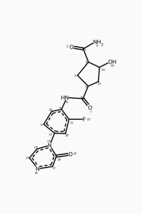 NC(=O)C1CC(C(=O)Nc2ccc(-n3ccncc3=O)cc2F)CC1O